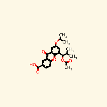 CC(=O)OC(c1cc(OC(C)C)cc2c(=O)c3cc(C(=O)O)ccc3oc12)C(C)C